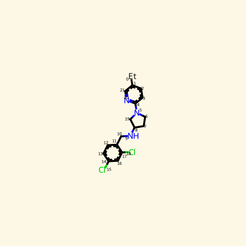 CCc1ccc(N2CCC(NCc3ccc(Cl)cc3Cl)C2)nc1